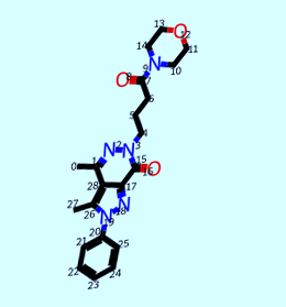 Cc1nn(CCCC(=O)N2CCOCC2)c(=O)c2nn(-c3ccccc3)c(C)c12